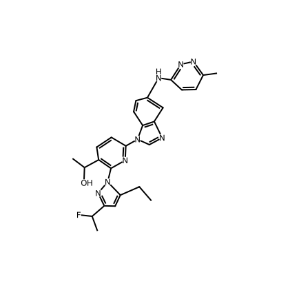 CCc1cc(C(C)F)nn1-c1nc(-n2cnc3cc(Nc4ccc(C)nn4)ccc32)ccc1C(C)O